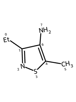 CCc1nsc(C)c1N